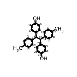 Cc1ccc(C(c2ccc(O)cc2)C(c2ccc(C)cc2)c2ccc(O)cc2)cc1